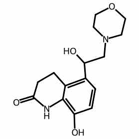 O=C1CCc2c(C(O)CN3CCOCC3)ccc(O)c2N1